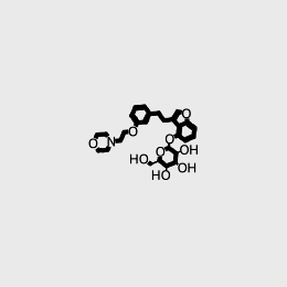 OC[C@H]1O[C@@H](Oc2cccc3occ(CCc4cccc(OCCN5CCOCC5)c4)c23)[C@H](O)[C@@H](O)[C@@H]1O